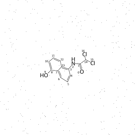 O=C(Nc1cccc2c(O)cccc12)C(Cl)Cl